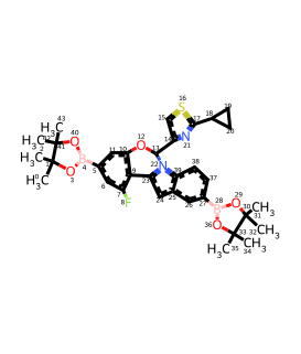 CC1(C)OB(c2cc(F)c3c(c2)OC(c2csc(C4CC4)n2)n2c-3cc3cc(B4OC(C)(C)C(C)(C)O4)ccc32)OC1(C)C